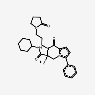 CC1(C(=O)NC2CCCCC2)Cn2c(ccc2-c2ccccc2)C(=O)N1CCCN1CCCC1=O